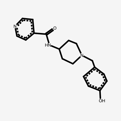 O=C(NC1CCN(Cc2ccc(O)cc2)CC1)c1ccncc1